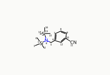 C[Si](C)(C)N(Cc1cccc(C#N)c1)[Si](C)(C)C